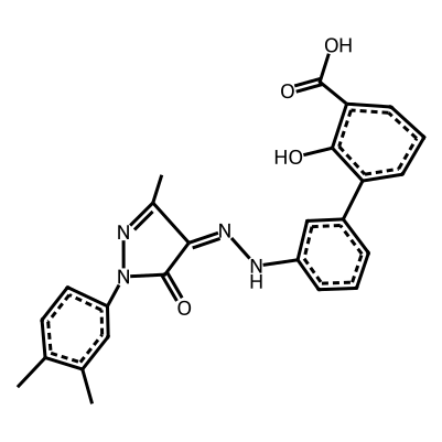 CC1=NN(c2ccc(C)c(C)c2)C(=O)C1=NNc1cccc(-c2cccc(C(=O)O)c2O)c1